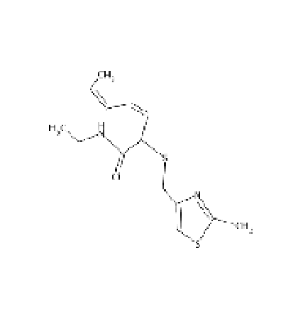 C/C=C\C=C/C(SCc1csc(C)n1)C(=O)NCC